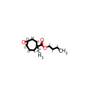 CCCCOC(=O)C1(C)CCC2OC2CC1